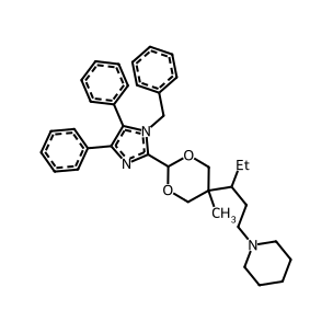 CCC(CCN1CCCCC1)C1(C)COC(c2nc(-c3ccccc3)c(-c3ccccc3)n2Cc2ccccc2)OC1